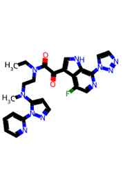 CCN(CCN(C)c1ccnn1-c1ccccn1)C(=O)C(=O)c1c[nH]c2c(-n3ccnn3)ncc(F)c12